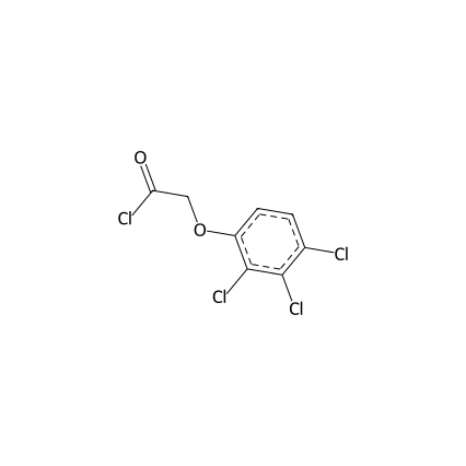 O=C(Cl)COc1ccc(Cl)c(Cl)c1Cl